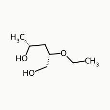 CCO[C@H](CO)C[C@@H](C)O